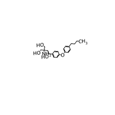 CCCCc1ccc(Oc2ccc(C(O)CC(N)(CO)CO)cc2)cc1